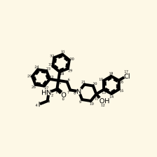 O=C(NCI)C(CCN1CCC(O)(c2ccc(Cl)cc2)CC1)(c1ccccc1)c1ccccc1